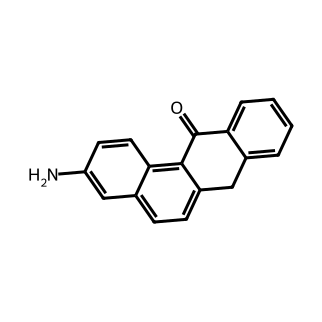 Nc1ccc2c3c(ccc2c1)Cc1ccccc1C3=O